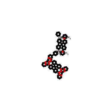 CC(C)(C)c1ccc2c(c1)C1(c3cc(N(c4ccccc4)c4ccccc4)ccc3-c3ccc(N(c4ccccc4)c4ccc(-c5cccc(N(c6ccccc6)c6ccc7c(c6)C6(c8cc(N(c9ccccc9)c9ccccc9)ccc8-c8ccc(N(c9ccccc9)c9ccccc9)cc86)c6cc(N(c8ccccc8)c8ccccc8)ccc6-7)c5)cc4)cc31)c1cc(C(C)(C)C)ccc1-2